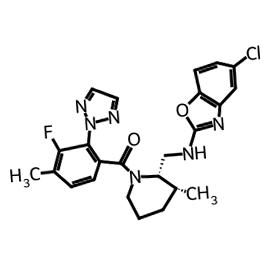 Cc1ccc(C(=O)N2CCC[C@@H](C)[C@H]2CNc2nc3cc(Cl)ccc3o2)c(-n2nccn2)c1F